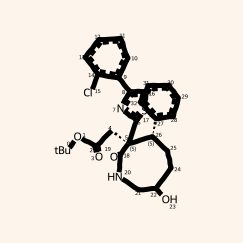 CC(C)(C)OC(=O)C[C@@]1(c2nc(-c3ccccc3Cl)cs2)C(=O)NCC(O)CC[C@H]1c1ccccc1